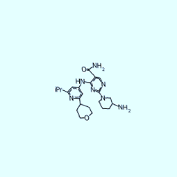 CC(C)c1cc(Nc2nc(N3CCCC(N)C3)ncc2C(N)=O)cc(C2CCOCC2)n1